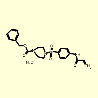 C=CC(=O)Nc1ccc(S(=O)(=O)N2CCN(C(=O)OCc3ccccc3)[C@@H](C)C2)cc1